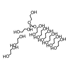 O=[PH](OCCO)OCCO.OCCO.OCCO.OCCO.OCCO.OCCO.OCCO.OCCO.OCCO